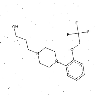 OCCCN1CCN(c2ccccc2OCC(F)(F)F)CC1